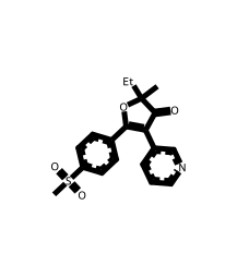 CCC1(C)OC(c2ccc(S(C)(=O)=O)cc2)=C(c2cccnc2)C1=O